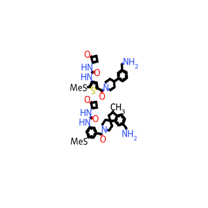 CSc1cc(NC(=O)NC2CCC2=O)cc(C(=O)N2CCC3(CC2)CC(C)c2ccc(CN)cc23)c1.CSc1sc(C(=O)N2CCC(c3cccc(CN)c3)CC2)cc1NC(=O)NC1CCC1=O